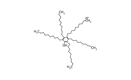 CCCCCCCCCCc1c(O)c(CCCCCCCCCC)c(CCCCCCCCCC)c(CCCCCCCCCC)c1CCCCCCCCCC.[H+]